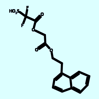 O=C(COC(=O)C(F)(F)S(=O)(=O)O)OCCc1cccc2ccccc12